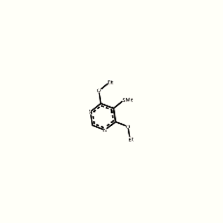 CCOc1ncnc(OCC)c1SC